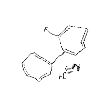 C#N.Fc1ccccc1-c1ccccc1